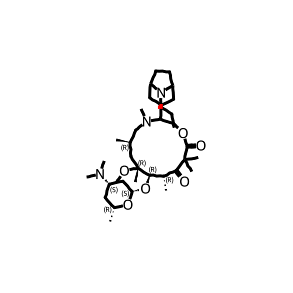 CCCN1C2CCC1CC(C1COC(=O)C(C)(C)C(=O)[C@H](C)[C@@H](O[C@H]3C[C@@H](N(C)C)C[C@@H](C)O3)[C@](C)(OC)C[C@@H](C)CN1C)C2